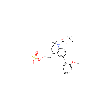 COc1ccccc1-c1ccc2c(c1)C(CCOS(C)(=O)=O)=CC(C)(C)N2C(=O)OC(C)(C)C